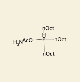 CCCCCCCC[PH](CCCCCCCC)(CCCCCCCC)OC(C)=O.N